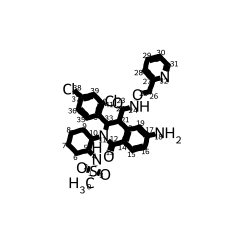 CS(=O)(=O)NC1CCCCC1N1C(=O)c2ccc(N)cc2C(C(=O)NOCc2ccccn2)C1c1ccc(Cl)cc1Cl